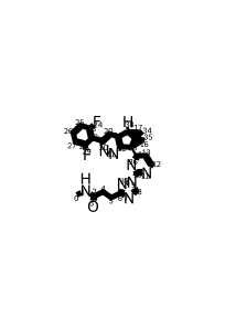 CNC(=O)CCc1ncn(-c2nccc([C@@]34CC[C@@H](c5cc(-c6c(F)cccc6F)nnc53)C4(C)C)n2)n1